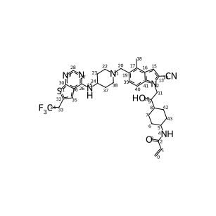 C=CC(=O)NC1CCC(C(O)Cn2c(C#N)cc3c(C)c(CN4CCC(Nc5ncnc6sc(CC(F)(F)F)cc56)CC4)ccc32)CC1